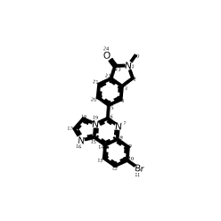 CN1Cc2cc(-c3nc4cc(Br)ccc4c4nccn34)ccc2C1=O